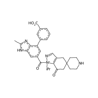 Cc1nc2c(-c3cccc(C(=O)O)c3)cc(C(=O)[N+]3(C(C)C)N=CC4=C3C(=O)CC3(CCNCC3)C4)cc2[nH]1